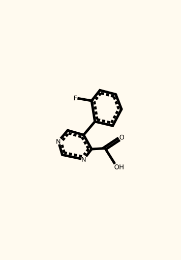 O=C(O)c1ncncc1-c1ccccc1F